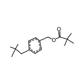 CC(C)(C)Cc1ccc(COC(=O)C(C)(C)C)cc1